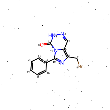 O=c1[nH]ncc2c(CBr)nc(-c3ccccc3)n12